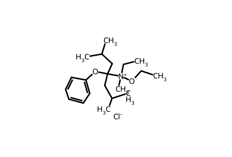 CCO[N+](C)(CC)C(CC(C)C)(CC(C)C)Oc1ccccc1.[Cl-]